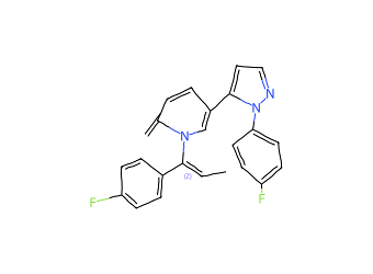 C=C1C=CC(c2ccnn2-c2ccc(F)cc2)=CN1/C(=C\C)c1ccc(F)cc1